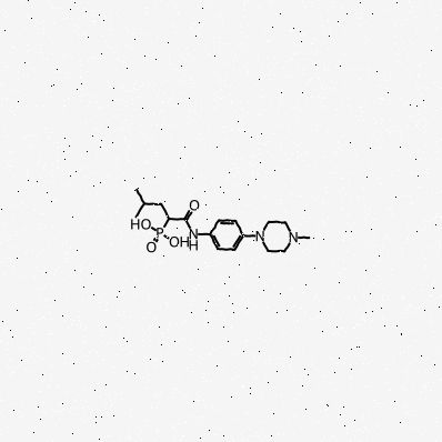 CC(C)CC(C(=O)Nc1ccc(N2CCN(C)CC2)cc1)P(=O)(O)O